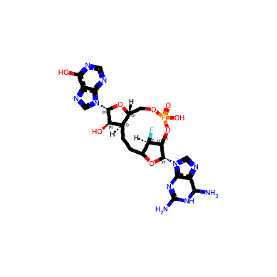 NC1=Nc2c(ncn2[C@@H]2OC3CC[C@H]4[C@@H](O)[C@H](n5cnc6c(O)ncnc65)O[C@@H]4COP(=O)(O)O[C@@H]2[C@@H]3F)C(N)N1